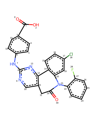 O=C(O)c1ccc(Nc2ncc3c(n2)-c2ccc(Cl)cc2N(c2ccccc2F)C(=O)C3)cc1